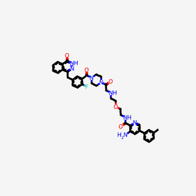 Cc1cccc(-c2cnc(C(=O)NCCOCCNCC(=O)N3CCN(C(=O)c4cc(Cc5n[nH]c(=O)c6ccccc56)ccc4F)CC3)c(N)c2)c1